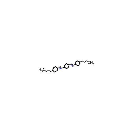 CCCCc1ccc(/N=C/c2ccc(/C=N/c3ccc(CCCC)cc3)cc2)cc1